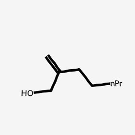 C=C(CO)CCCCC